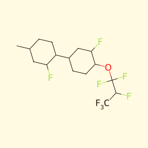 CC1CCC(C2CCC(OC(F)(F)C(F)C(F)(F)F)C(F)C2)C(F)C1